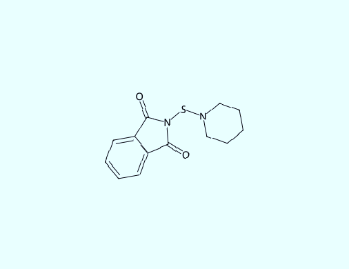 O=C1c2ccccc2C(=O)N1SN1CCCCC1